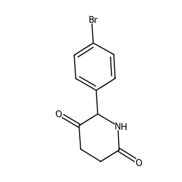 O=C1CCC(=O)C(c2ccc(Br)cc2)N1